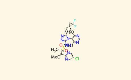 COc1ncnc(OC)c1-n1c(NS(=O)(=O)[C@@H](C)[C@H](OC)c2ncc(Cl)cn2)nnc1[C@H]1C[C@]2(CC2(F)F)C1